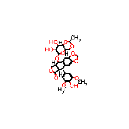 COc1cc([C@@H]2c3cc4c(cc3C(O[C@@H]3O[C@@H]5CO[C@@H](C)O[C@H]5[C@H](O)[C@H]3O)[C@H]3COC(=O)[C@H]23)OCO4)cc(OC)c1O